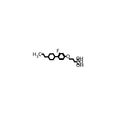 CCCC1CCC(c2ccc(OCCCP(=O)(O)O)cc2F)CC1